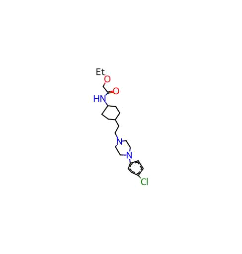 CCOCC(=O)NC1CCC(CCN2CCN(c3ccc(Cl)cc3)CC2)CC1